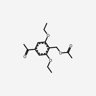 CCOc1cc(C(C)=O)cc(OCC)c1COC(C)=O